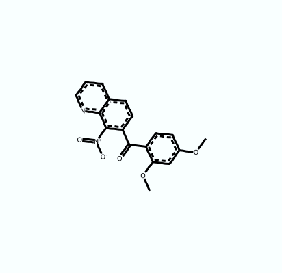 COc1ccc(C(=O)c2ccc3cccnc3c2[N+](=O)[O-])c(OC)c1